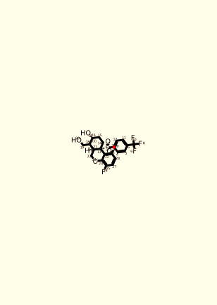 O=S(=O)(c1ccc(C(F)(F)F)cc1)[C@@]12CC[C@H](O)C(CO)[C@@H]1COc1c(F)ccc(F)c12